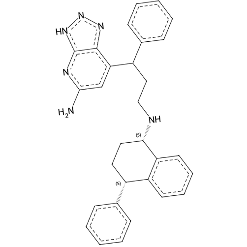 Nc1cc(C(CCN[C@H]2CC[C@@H](c3ccccc3)c3ccccc32)c2ccccc2)c2nn[nH]c2n1